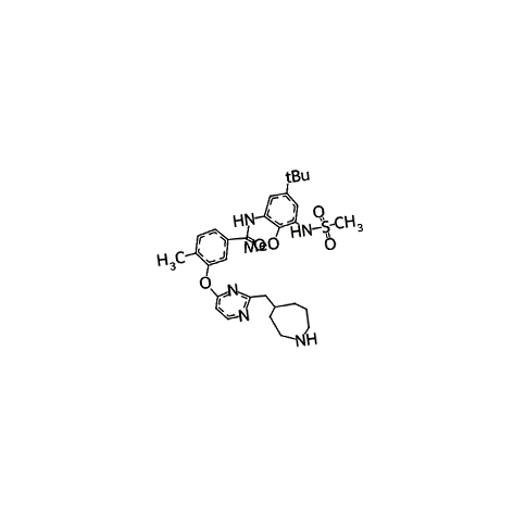 COc1c(NC(=O)c2ccc(C)c(Oc3ccnc(CC4CCCNCC4)n3)c2)cc(C(C)(C)C)cc1NS(C)(=O)=O